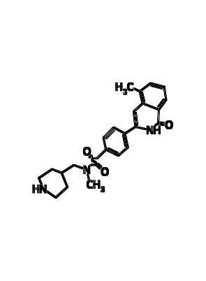 Cc1cccc2c(=O)[nH]c(-c3ccc(S(=O)(=O)N(C)CC4CCNCC4)cc3)cc12